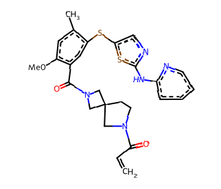 C=CC(=O)N1CCC2(C1)CN(C(=O)c1cc(Sc3cnc(Nc4ccccn4)s3)c(C)cc1OC)C2